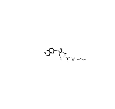 CCCCOC(=O)NC(=N)NC(=O)c1cnn(-c2ccc3ncccc3c2)c1CCC